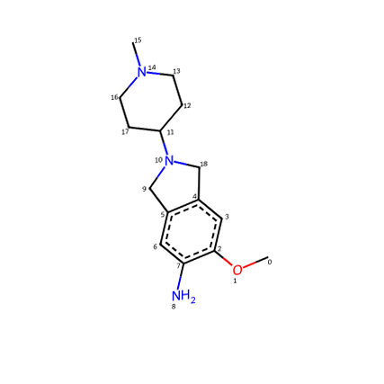 COc1cc2c(cc1N)CN(C1CCN(C)CC1)C2